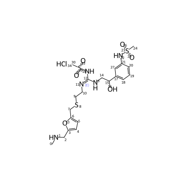 CNCc1ccc(CSCC/N=C(\NCC(O)c2cccc(NS(C)(=O)=O)c2)NS(C)(=O)=O)o1.Cl